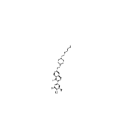 CCCCCCCC1CCC(CCc2ccc3c(F)c(-c4cc(F)c(Cl)c(F)c4)ccc3c2)CC1